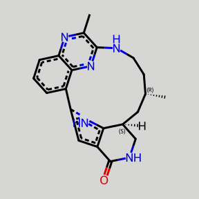 Cc1nc2cccc3c2nc1NCC[C@H](C)C[C@H]1CNC(=O)c2cc-3[nH]c21